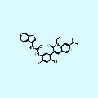 CCn1c(=O)c(-c2cc(NC(=O)Nc3csc4ccccc34)c(F)cc2Cl)cc2cnc(NC)cc21